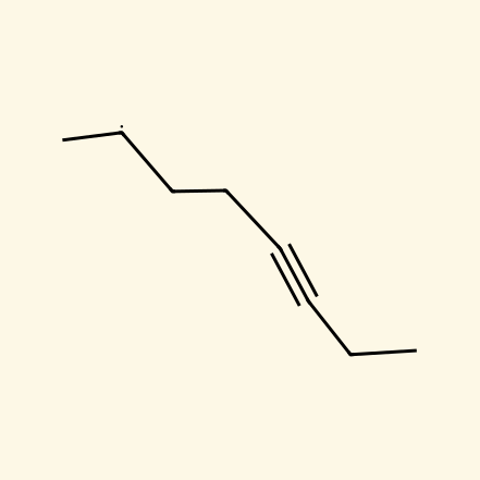 C[CH]CCC#CCC